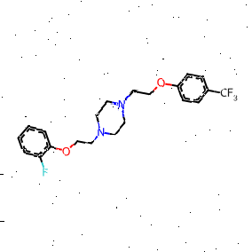 Fc1ccccc1OCCN1CCN(CCOc2ccc(C(F)(F)F)cc2)CC1